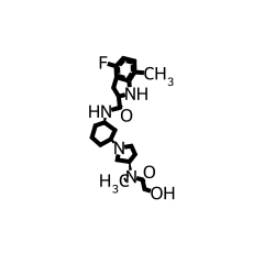 Cc1ccc(F)c2c1NC(C(=O)N[C@@H]1CCC[C@H](N3CC[C@@H](N(C)C(=O)CO)C3)C1)C2